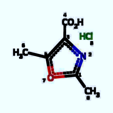 Cc1nc(C(=O)O)c(C)o1.Cl